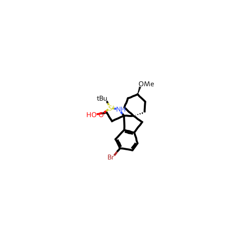 CO[C@H]1CC[C@]2(CC1)Cc1ccc(Br)cc1C2(CCO)N[S+]([O-])C(C)(C)C